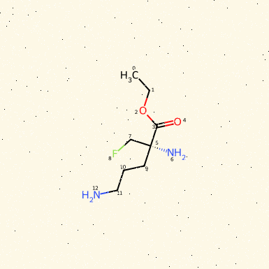 CCOC(=O)[C@](N)(CF)CCCN